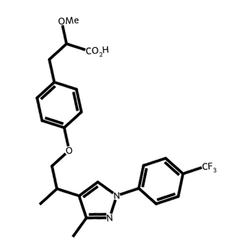 COC(Cc1ccc(OCC(C)c2cn(-c3ccc(C(F)(F)F)cc3)nc2C)cc1)C(=O)O